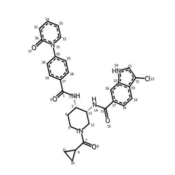 O=C(N[C@H]1CCN(C(=O)C2CC2)C[C@H]1NC(=O)c1ccc2c(Cl)c[nH]c2c1)c1ccc(-n2ccccc2=O)cc1